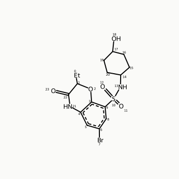 CCC1Oc2c(cc(Br)cc2S(=O)(=O)NC2CCC(O)CC2)NC1=O